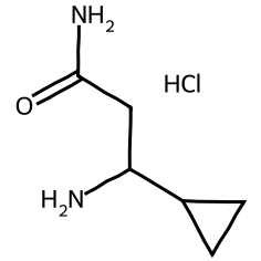 Cl.NC(=O)CC(N)C1CC1